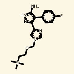 C[Si](C)(C)CCOCn1cnc(-c2n[nH]c(N)c2-c2ccc(F)cc2)c1